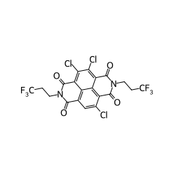 O=C1c2cc(Cl)c3c4c(c(Cl)c(Cl)c(c24)C(=O)N1CCC(F)(F)F)C(=O)N(CCC(F)(F)F)C3=O